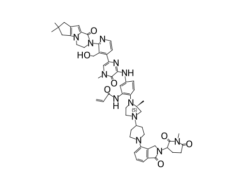 C=CC(=O)Nc1cc(Nc2nc(-c3ccnc(N4CCn5c(cc6c5CC(C)(C)C6)C4=O)c3CO)cn(C)c2=O)ccc1N1CCN(C2CCN(c3cccc4c3CN(C3CCC(=O)N(C)C3=O)C4=O)CC2)C[C@@H]1C